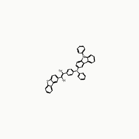 [2H]/C(=C(/[2H])c1ccc2sc3ccccc3c2c1)c1ccc(N(c2ccccc2)c2ccc3c(c2)c2ccccc2n3-c2ccccc2)cc1